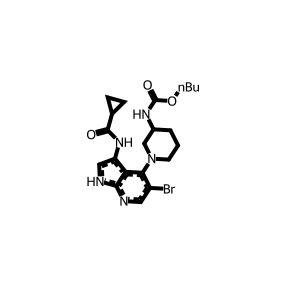 CCCCOC(=O)NC1CCCN(c2c(Br)cnc3[nH]cc(NC(=O)C4CC4)c23)C1